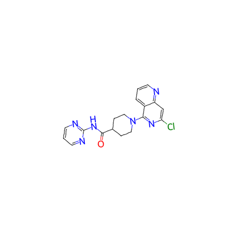 O=C(Nc1ncccn1)C1CCN(c2nc(Cl)cc3ncccc23)CC1